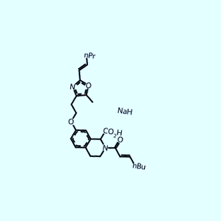 CCCC=Cc1nc(CCOc2ccc3c(c2)C(C(=O)O)N(C(=O)C=CCCCC)CC3)c(C)o1.[NaH]